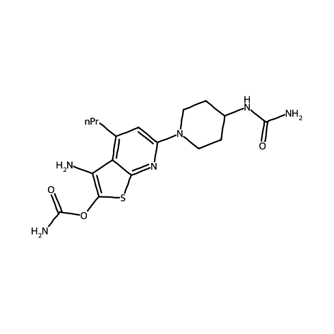 CCCc1cc(N2CCC(NC(N)=O)CC2)nc2sc(OC(N)=O)c(N)c12